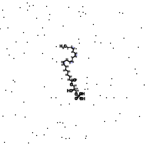 CC/C=C\C/C=C\C/C=C\C/C=C\CCCCCCC(=O)OCC(O)COP(=O)(O)O